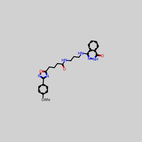 COc1ccc(-c2noc(CCCC(=O)NCCCNc3n[nH]c(=O)c4ccccc34)n2)cc1